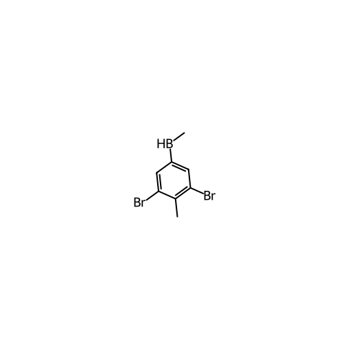 CBc1cc(Br)c(C)c(Br)c1